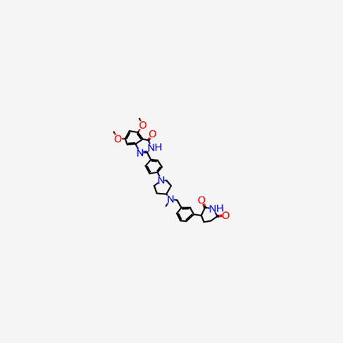 COc1cc(OC)c2c(=O)[nH]c(-c3ccc(N4CCC(N(C)Cc5cccc(C6CCC(=O)NC6=O)c5)CC4)cc3)nc2c1